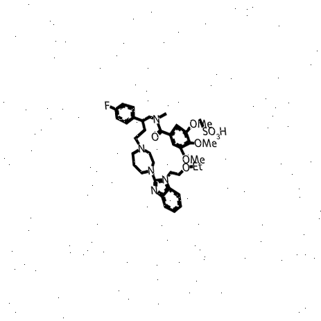 CCOCCn1c(N2CCCN(CCC(CN(C)C(=O)c3cc(OC)c(OC)c(OC)c3)c3ccc(F)cc3)CC2)nc2ccccc21.CS(=O)(=O)O